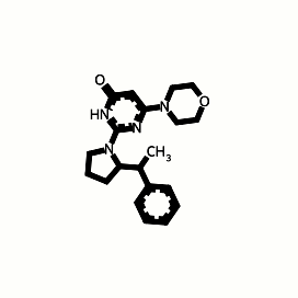 CC(c1ccccc1)C1CCCN1c1nc(N2CCOCC2)cc(=O)[nH]1